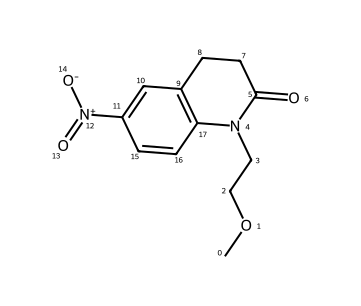 COCCN1C(=O)CCc2cc([N+](=O)[O-])ccc21